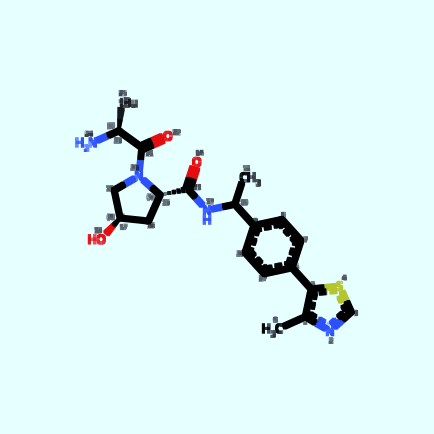 Cc1ncsc1-c1ccc(C(C)NC(=O)[C@@H]2C[C@@H](O)CN2C(=O)[C@@H](N)C(C)(C)C)cc1